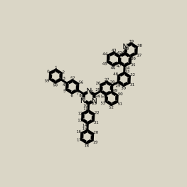 c1ccc(-c2ccc(-c3nc(-c4ccc(-c5ccccc5)cc4)nc(-c4ccc(-c5cccc(-c6cc7cccnc7c7ccccc67)c5)c5ccccc45)n3)cc2)cc1